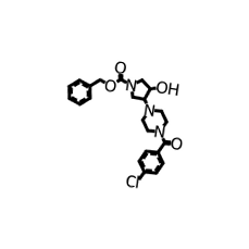 O=C(OCc1ccccc1)N1CC(O)C(N2CCN(C(=O)c3ccc(Cl)cc3)CC2)C1